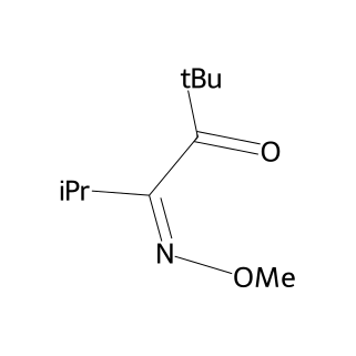 CON=C(C(=O)C(C)(C)C)C(C)C